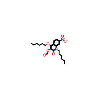 CCCCCCOc1c(OC=O)c(=O)n(CCCCCC)c2cc([N+](=O)[O-])ccc12